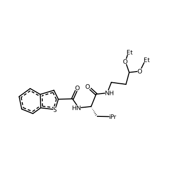 CCOC(CCNC(=O)[C@H](CC(C)C)NC(=O)c1cc2ccccc2s1)OCC